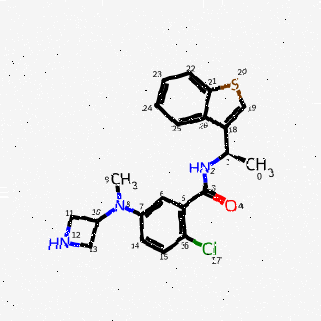 C[C@@H](NC(=O)c1cc(N(C)C2CNC2)ccc1Cl)c1csc2ccccc12